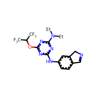 CCN(CC)c1nc(Nc2ccc3c(c2)CN=C3)nc(OC(C(F)(F)F)C(F)(F)F)n1